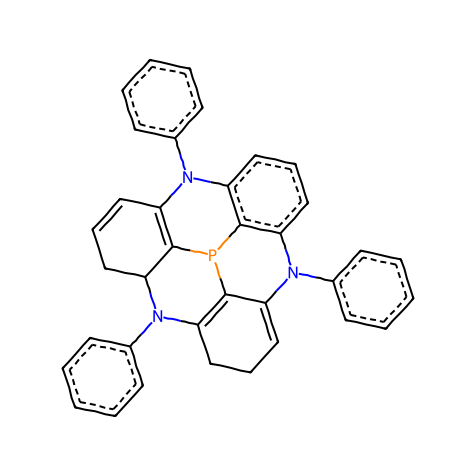 C1=CC2=C3C(C1)N(c1ccccc1)C1=C4C(=CCC1)N(c1ccccc1)c1cccc(c1P43)N2c1ccccc1